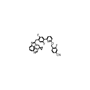 N#Cc1ccc(COc2cccc(-c3cc(F)c(Cc4nc5ccccc5n4CC4(n5cncn5)CC4)cc3F)n2)c(F)c1